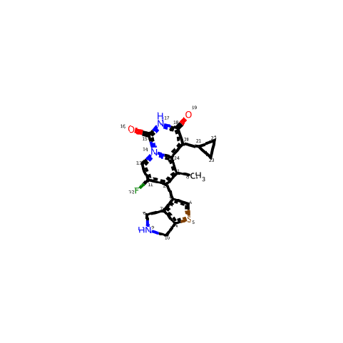 Cc1c(-c2csc3c2CNC3)c(F)cn2c(=O)[nH]c(=O)c(C3CC3)c12